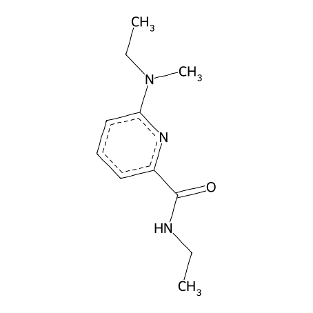 CCNC(=O)c1cccc(N(C)CC)n1